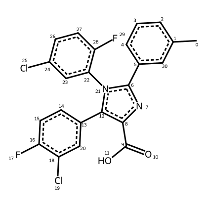 Cc1cccc(-c2nc(C(=O)O)c(-c3ccc(F)c(Cl)c3)n2-c2cc(Cl)ccc2F)c1